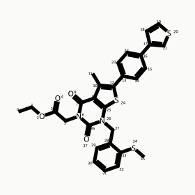 CCOC(=O)Cn1c(=O)c2c(C)c(-c3ccc(-c4ccsc4)cc3)sc2n(Cc2ccccc2SC)c1=O